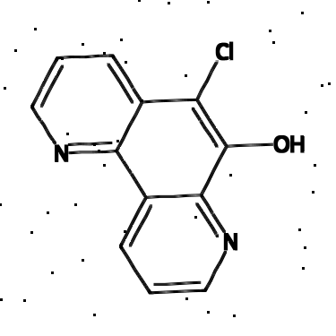 Oc1c(Cl)c2cccnc2c2cccnc12